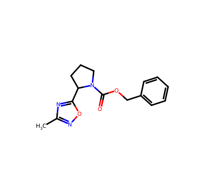 Cc1noc(C2CCCN2C(=O)OCc2ccccc2)n1